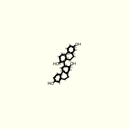 Oc1ccc2c(c1)CCc1cc(O)c(-c3c(O)ccc4c3CCc3cc(O)ccc3-4)cc1-2